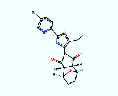 CCc1sc(-c2ccc(Br)cn2)nc1C1C(=O)[C@@H]2[C@H](C1=O)[C@H]1CC[C@@H]2O1